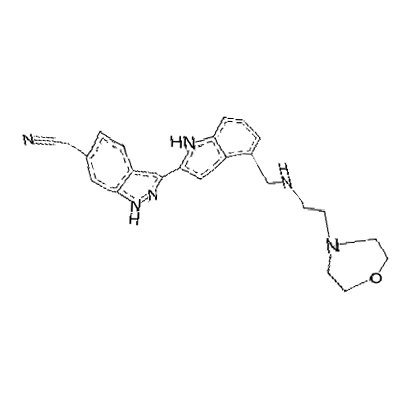 N#Cc1ccc2c(-c3cc4c(CNCCN5CCOCC5)cccc4[nH]3)n[nH]c2c1